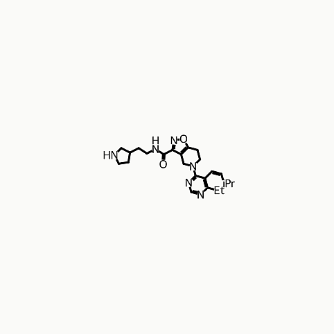 CCc1ncnc(N2CCc3onc(C(=O)NCCC4CCNC4)c3C2)c1/C=C\C(C)C